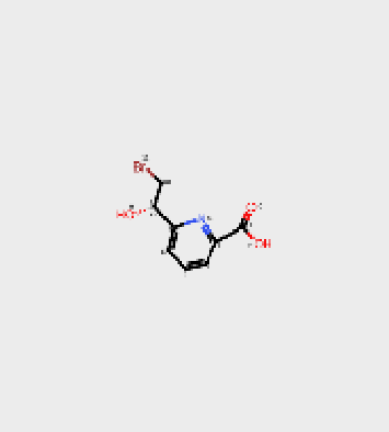 O=C(O)c1cccc([C@H](O)CBr)n1